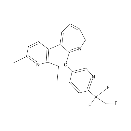 CCc1nc(C)ccc1C1=CC=CCN=C1Oc1ccc(C(F)(F)CF)nc1